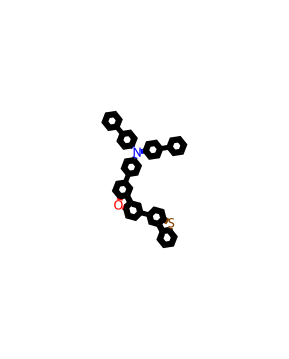 c1ccc(-c2ccc(N(c3ccc(-c4ccccc4)cc3)c3ccc(-c4ccc5oc6ccc(-c7ccc8sc9ccccc9c8c7)cc6c5c4)cc3)cc2)cc1